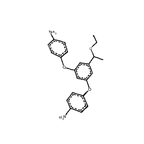 CCOC(C)c1cc(Oc2ccc(N)cc2)cc(Oc2ccc(N)cc2)c1